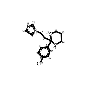 Clc1ccc(C2(CCn3ccnc3)SCCCS2)cc1